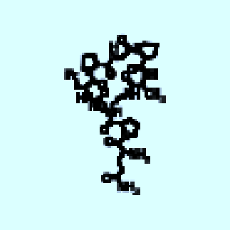 CC(C)C[C@H](NC(=O)CNC(=O)[C@@H]1CCCN1C(=O)[C@@H](N)CCC(N)=O)C(=O)N1CCC[C@H]1C(=O)NCC(=O)N1CCC[C@H]1C(=O)N[C@@H](C)C(=O)NCC(=O)O